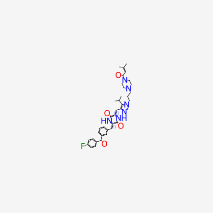 CC(C)=CC(=O)N1CCN(CCCn2cnc(/C=c3\[nH]c(=O)/c(=C/c4cccc(C(=O)c5ccc(F)cc5)c4)[nH]c3=O)c2C(C)C)CC1